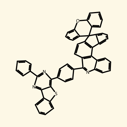 c1ccc(-c2nc(-c3ccc(-c4nc5ccccc5c5c6c(ccc45)C4(c5ccccc5Oc5ccccc54)c4ccccc4-6)cc3)c3sc4ccccc4c3n2)cc1